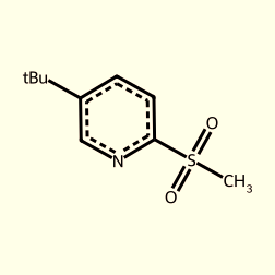 CC(C)(C)c1ccc(S(C)(=O)=O)nc1